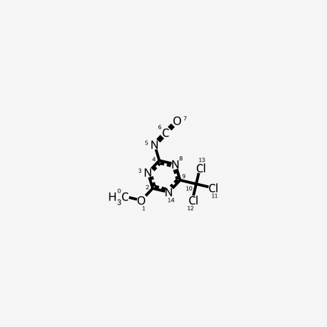 COc1nc(N=C=O)nc(C(Cl)(Cl)Cl)n1